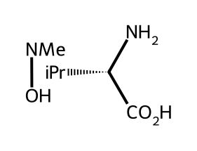 CC(C)[C@H](N)C(=O)O.CNO